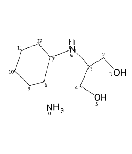 N.OCC(CO)NC1CCCCC1